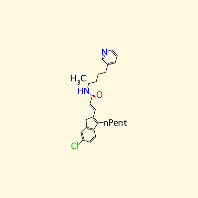 CCCCCC1=C(/C=C/C(=O)N[C@H](C)CCCc2cccnc2)Cc2cc(Cl)ccc21